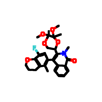 COC1(C)OCC(c2c(-c3cc(F)c4c(c3C)CCCO4)c3ccccc3c(=O)n2C)OC1(C)OC